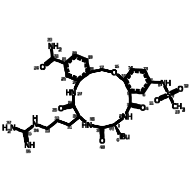 CCC(C)[C@@H]1NC(=O)c2cc(NS(C)(=O)=O)ccc2OCc2ccc(C(N)=O)cc2NC(=O)C(CCCNC(=N)N)NC1=O